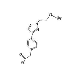 CCC(=O)Cc1ccc(-c2ccn(CCOC(C)C)n2)cc1